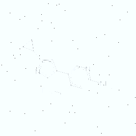 Nc1cc(OC(F)(F)F)c(-c2cnn(C3CC3)c2)cn1